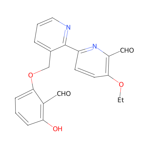 CCOc1ccc(-c2ncccc2COc2cccc(O)c2C=O)nc1C=O